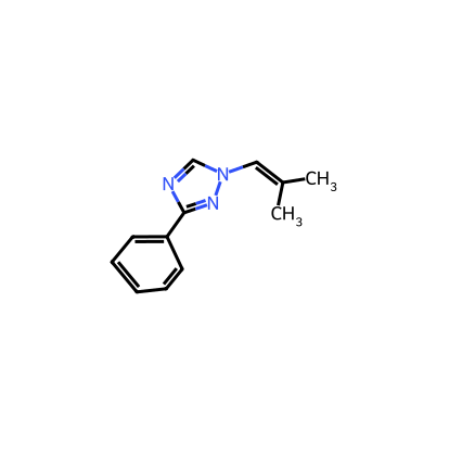 CC(C)=Cn1cnc(-c2ccccc2)n1